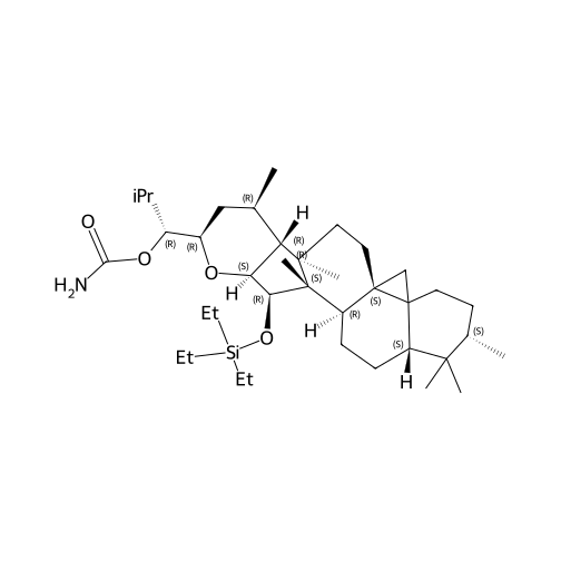 CC[Si](CC)(CC)O[C@H]1[C@H]2O[C@@H]([C@H](OC(N)=O)C(C)C)C[C@@H](C)[C@@H]2[C@@]2(C)CC[C@@]34CC35CC[C@H](C)C(C)(C)[C@@H]5CC[C@H]4[C@]12C